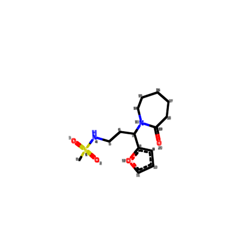 CS(=O)(=O)NCCC(c1ccco1)N1CCCCCC1=O